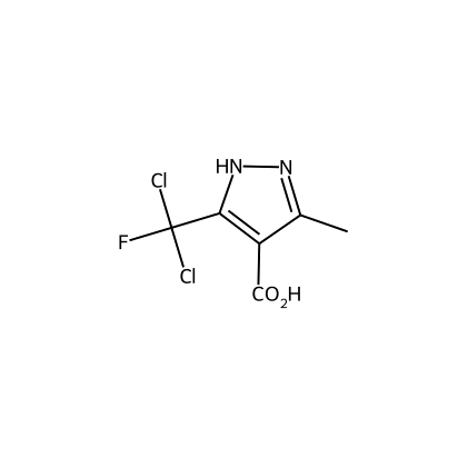 Cc1n[nH]c(C(F)(Cl)Cl)c1C(=O)O